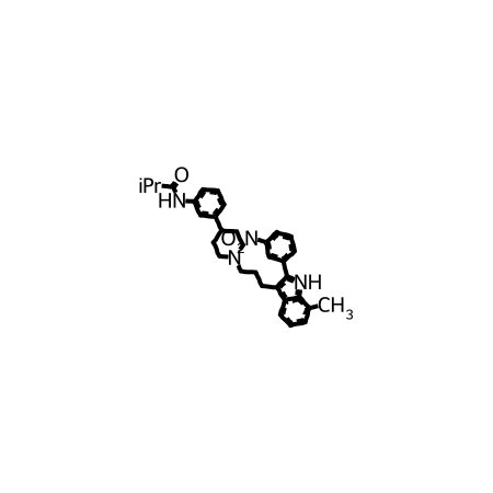 Cc1cccc2c(CCCN3CCC(c4cccc(NC(=O)C(C)C)c4)CC3)c(-c3cccc([N+](=O)[O-])c3)[nH]c12